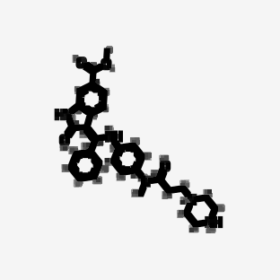 COC(=O)c1ccc2c(c1)NC(=O)C2=C(Nc1ccc(N(C)C(=O)CCN2CCNCC2)cc1)c1ccccc1